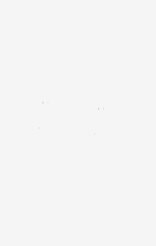 CCOC(=O)C(CC)C(C(=O)OCC)C1CCCC1